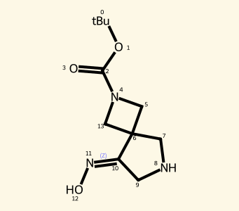 CC(C)(C)OC(=O)N1CC2(CNC/C2=N\O)C1